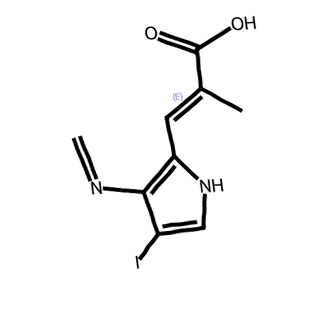 C=Nc1c(I)c[nH]c1/C=C(\C)C(=O)O